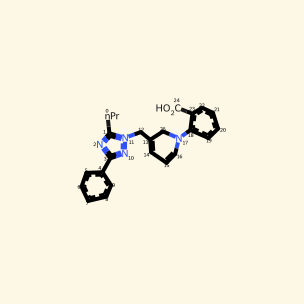 CCCc1nc(-c2ccccc2)nn1CC1=CC=CN(c2ccccc2C(=O)O)C1